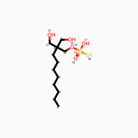 CCCCCCCCC(CO)(CO)COP(=O)(O)S